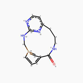 O=C1NCCCc2ccnc(n2)NCS2=CC1=CC=C2